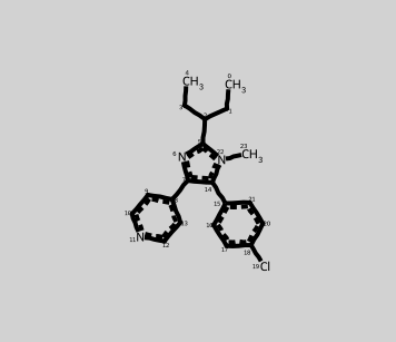 CCC(CC)c1nc(-c2ccncc2)c(-c2ccc(Cl)cc2)n1C